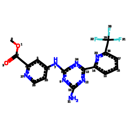 COC(=O)c1cc(Nc2nc(N)nc(-c3cccc(C(F)(F)F)n3)n2)ccn1